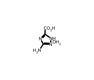 Nc1n[nH]c(C(=O)O)n1.O